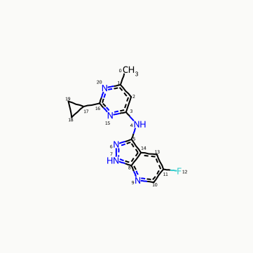 Cc1cc(Nc2n[nH]c3ncc(F)cc23)nc(C2CC2)n1